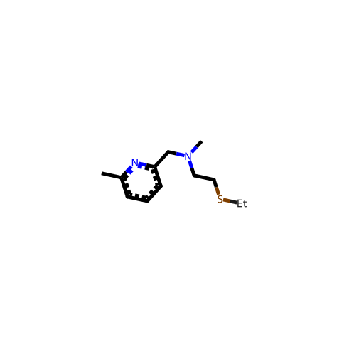 CCSCCN(C)Cc1cccc(C)n1